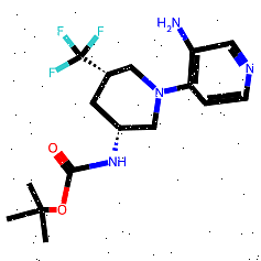 CC(C)(C)OC(=O)N[C@@H]1C[C@H](C(F)(F)F)CN(c2ccncc2N)C1